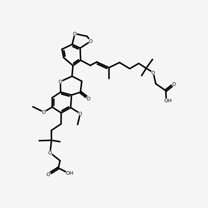 COc1cc2c(c(OC)c1CCC(C)(C)OCC(=O)O)C(=O)CC(c1ccc3c(c1C/C=C(\C)CCCC(C)(C)OCC(=O)O)OCO3)O2